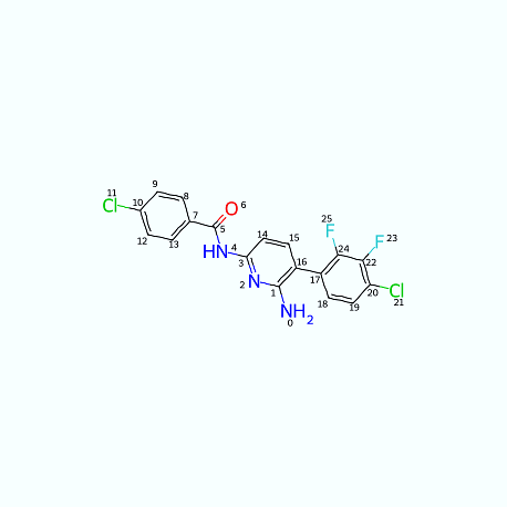 Nc1nc(NC(=O)c2ccc(Cl)cc2)ccc1-c1ccc(Cl)c(F)c1F